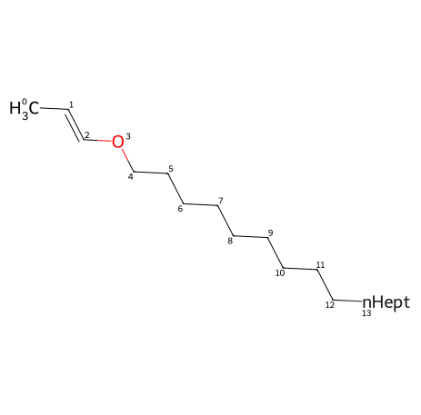 CC=COCCCCCCCCCCCCCCCC